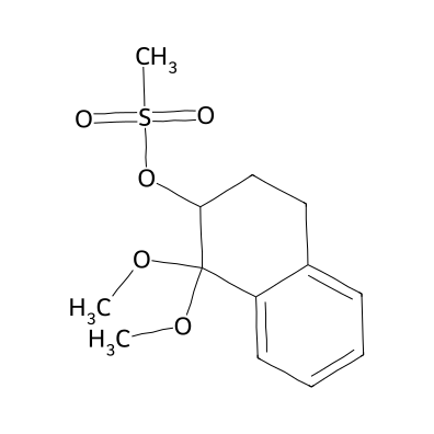 COC1(OC)c2ccccc2CCC1OS(C)(=O)=O